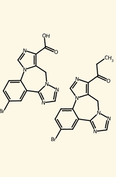 CCC(=O)c1ncn2c1Cn1ncnc1-c1cc(Br)ccc1-2.O=C(O)c1ncn2c1Cn1ncnc1-c1cc(Br)ccc1-2